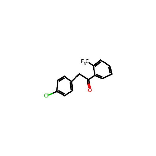 O=C(Cc1ccc(Cl)cc1)c1ccccc1C(F)(F)F